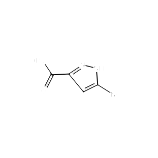 CC(C)(C)C(=O)c1cc([N+](=O)[O-])[nH]n1